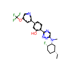 CC[C@@H]1CC[C@H](F)[C@H](N(C)c2cnc(-c3ccc(-c4cncc(OC(F)(F)F)c4)cc3O)nn2)C1